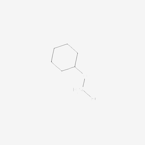 CC[SiH2]OC1CCCCC1